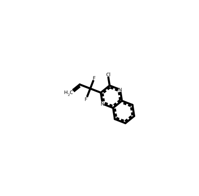 C=CC(F)(F)c1nc2ccccc2nc1Cl